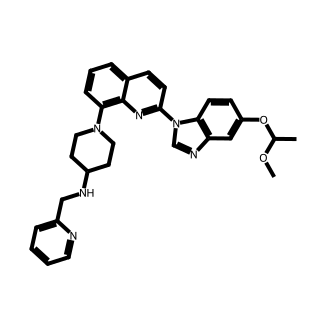 COC(C)Oc1ccc2c(c1)ncn2-c1ccc2cccc(N3CCC(NCc4ccccn4)CC3)c2n1